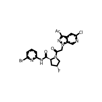 CC(=O)c1nn(CC(=O)N2C[C@H](F)C[C@H]2C(=O)Nc2cccc(Br)n2)c2cnc(Cl)cc12